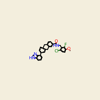 COc1ccc(Cl)c(CNC(=O)c2ccc3c(c2)Cc2cc(-c4cccc5[nH]cnc45)ccc2C3)c1F